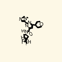 Cn1cncc1-c1nc(C(=O)N[C@@H]2C[C@@H]3[C@H](C2)C3(F)F)cc(C2CCOCC2)n1